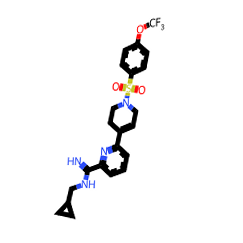 N=C(NCC1CC1)c1cccc(C2=CCN(S(=O)(=O)c3ccc(OC(F)(F)F)cc3)CC2)n1